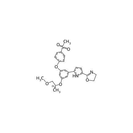 COC[C@H](C)Oc1cc(Oc2ccc(S(C)(=O)=O)cc2)cc(-c2ccc(C3=NCCO3)[nH]2)c1